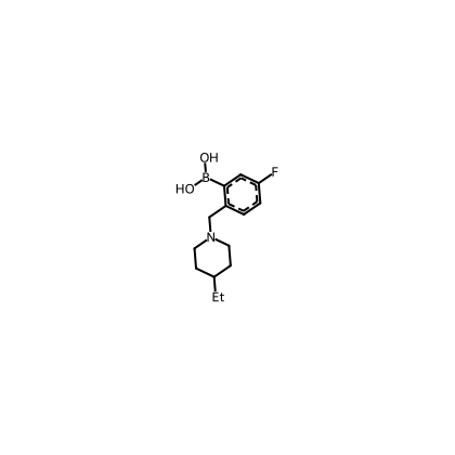 CCC1CCN(Cc2ccc(F)cc2B(O)O)CC1